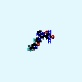 O=c1[nH]cc(-c2cc(N3C[C@H](Oc4ccc(C(F)(F)F)cn4)C(F)(F)C3)c3nccn3n2)c(=O)[nH]1